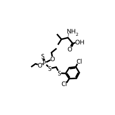 CC(C)[C@H](N)C(=O)O.CCOP(=S)(OCC)SCSc1cc(Cl)ccc1Cl